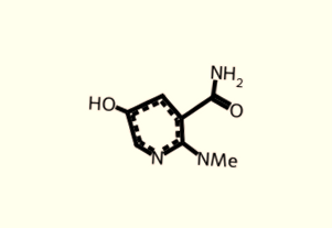 CNc1ncc(O)cc1C(N)=O